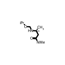 CNC(=O)C[C@H](C)NCOC(C)C